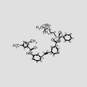 Cc1cc(C(=O)Nc2cccc(C#Cc3cncc(C(=O)N=[S@](=O)(CCCO[Si](C)(C)C(C)(C)C)c4ccccc4)c3)c2)n(C)n1